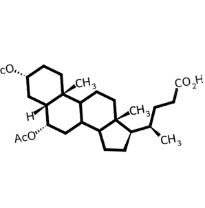 CC(=O)O[C@@H]1CC[C@]2(C)C3CC[C@@]4(C)C(CC[C@@H]4[C@H](C)CCC(=O)O)C3C[C@H](OC(C)=O)[C@@H]2C1